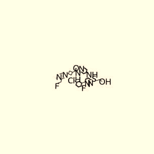 CN1CCN(C2CC(C(=O)Nc3cc(Nc4cc(-c5cc(Cl)ccc5F)nnc4SCCO)ccn3)C2)CC1CCF